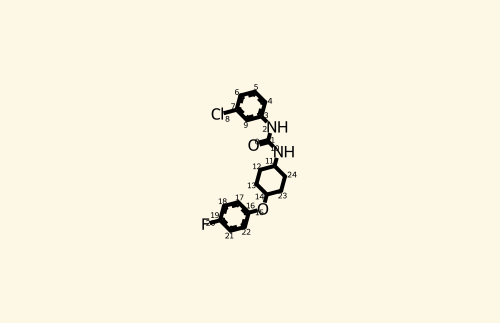 O=C(Nc1cccc(Cl)c1)NC1CCC(Oc2ccc(F)cc2)CC1